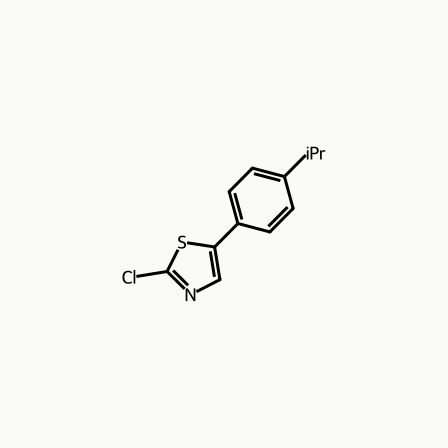 CC(C)c1ccc(-c2cnc(Cl)s2)cc1